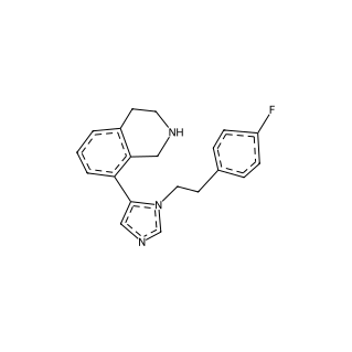 Fc1ccc(CCn2cncc2-c2cccc3c2CNCC3)cc1